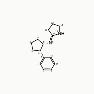 c1ccc([C@@H]2CCC[C@@H]2/N=C2\CCCN2)cc1